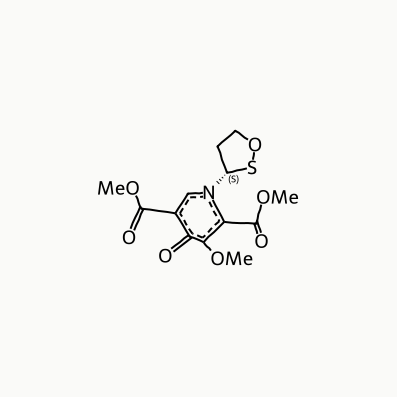 COC(=O)c1cn([C@@H]2CCOS2)c(C(=O)OC)c(OC)c1=O